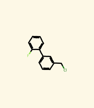 Fc1ccccc1-c1cccc(CCl)c1